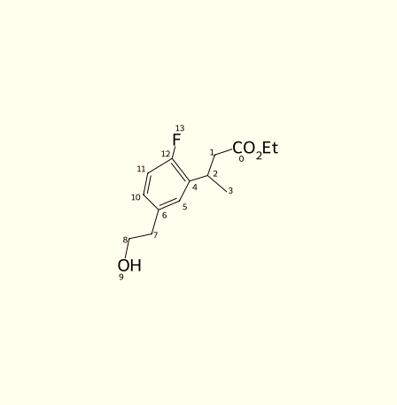 CCOC(=O)CC(C)c1cc(CCO)ccc1F